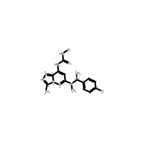 CCNC(=O)Nc1cc(N(C)[C@@H](C)c2ccc(Cl)cc2)nn2c(C)nnc12